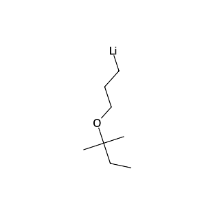 [Li][CH2]CCOC(C)(C)CC